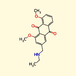 CCNCc1cc(OC)c2c(c1)C(=O)c1cccc(OC)c1C2=O